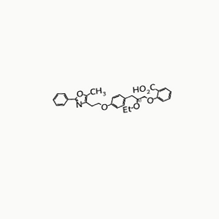 CCO[C@H](COc1ccccc1C(=O)O)Cc1ccc(OCCc2nc(-c3ccccc3)oc2C)cc1